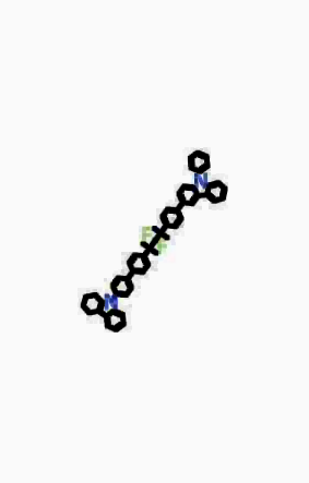 CC(C)(c1ccc(-c2ccc(-n3c4c(c5ccccc53)CCCC4)cc2)cc1)C(F)(F)C(C)(C)c1ccc(-c2ccc3c(c2)c2ccccc2n3-c2ccccc2)cc1